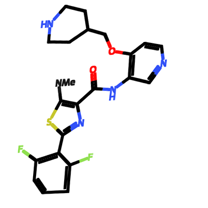 CNc1sc(-c2c(F)cccc2F)nc1C(=O)Nc1cnccc1OCC1CCNCC1